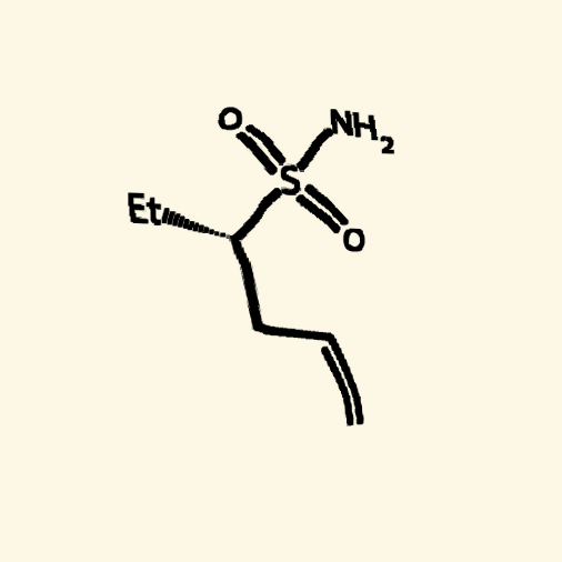 C=CC[C@H](CC)S(N)(=O)=O